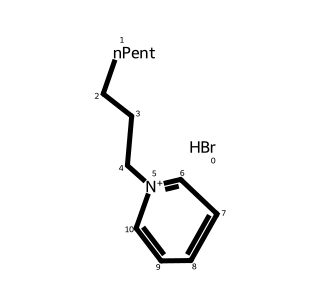 Br.CCCCCCCC[n+]1ccccc1